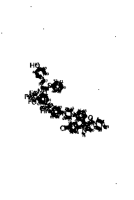 Cc1c(C(=O)N2CCN(C)CC2)c(-c2cccc(N3CCN(c4ccc(NS(=O)(=O)c5ccc(N[C@H](CCN6CCC(O)CC6)CSc6ccccc6)c(S(=O)(=O)C(F)(F)F)c5)cc4)CC3)c2)c(-c2ccc(Cl)cc2)n1C